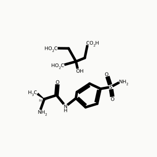 C[C@H](N)C(=O)Nc1ccc(S(N)(=O)=O)cc1.O=C(O)CC(O)(CC(=O)O)C(=O)O